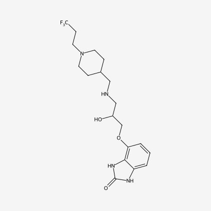 O=c1[nH]c2cccc(OCC(O)CNCC3CCN(CCC(F)(F)F)CC3)c2[nH]1